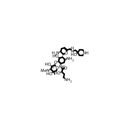 CN[C@@H]1[C@@H](O)[C@@H](O[C@H]2[C@H](NC(=O)[C@@H](O)CCN)C[C@H](N)C([C@H]3OC(CNCC4(O)CCNCC4)=CC[C@H]3N)[C@@H]2O)OC[C@]1(C)O